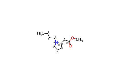 CCCCN1CCC[C@@H]1CC(=O)OC